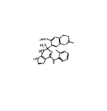 COc1cc2c(cc1C1(N)N=C(Nc3ccccc3C)c3cc[nH]c3N1)CN(C)CC2